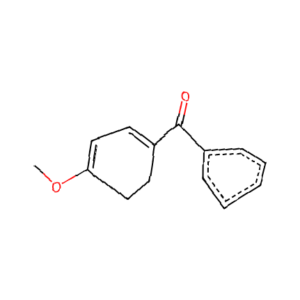 COC1=CC=C(C(=O)c2ccccc2)CC1